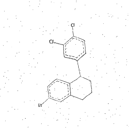 CCc1ccc2c(c1)CCCC2c1ccc(Cl)c(Cl)c1